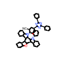 N#Cc1cc(-c2nc(-c3ccccc3)nc(-c3ccccc3)n2)ccc1-n1c2ccccc2c2c3c4ccccc4oc3c3c4ccccc4n(-c4ccccc4)c3c21